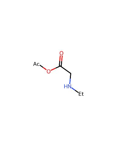 CCNCC(=O)OC(C)=O